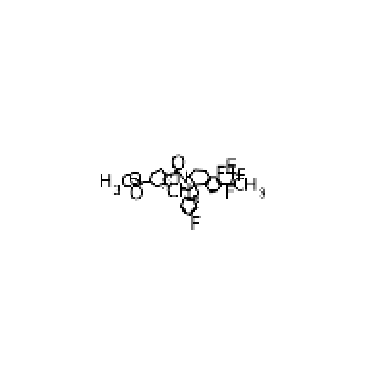 COC(=O)C1CC[C@@H](C(=O)N2CCC3(Cc4cccc(F)c4)c4ccc(C(C)(F)C(F)(F)F)cc4CCC23)[C@@H](C)C1